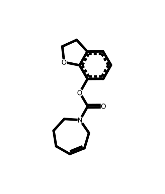 O=C(Oc1cccc2c1OCC2)N1CC=CCCC1